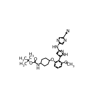 COc1cccc(OC2CCC(NC(=O)OC(C)(C)C)CC2)c1-c1cc(Nc2cnc(C#N)cn2)n[nH]1